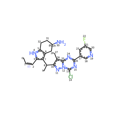 C/C=C\c1[nH]c2c(c1C(C)c1nn3c(Cl)nc(-c4cncc(F)c4)nc3c1C)C[C@H](N)CC2